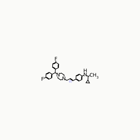 CC(Nc1ccc(/C=C/CN2CCN(C(c3ccc(F)cc3)c3ccc(F)cc3)CC2)cc1)C1CC1